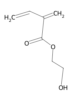 C=CC(=C)C(=O)OCCO